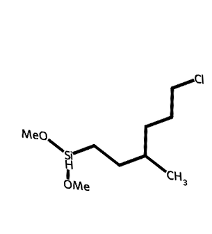 CO[SiH](CCC(C)CCCCl)OC